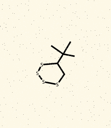 CC(C)(C)C1CSSSS1